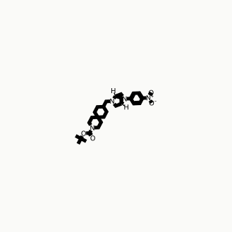 CC(C)(C)OC(=O)N1CCC2(CCC(CN3C[C@H]4C[C@@H]3CN4c3ccc([N+](=O)[O-])cc3)CC2)CC1